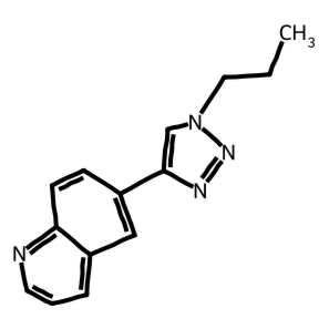 CCCn1cc(-c2ccc3ncccc3c2)nn1